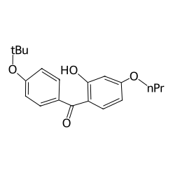 CCCOc1ccc(C(=O)c2ccc(OC(C)(C)C)cc2)c(O)c1